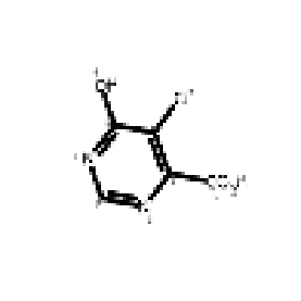 O=C(O)c1ncnc(O)c1Cl